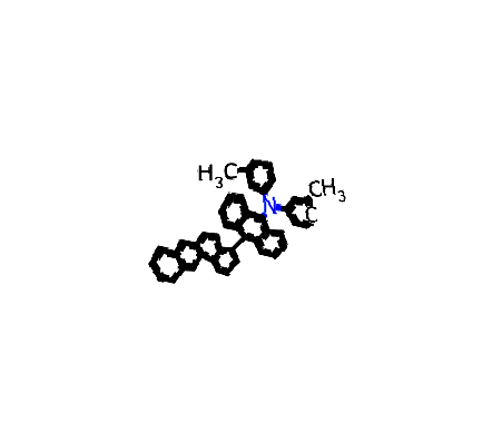 Cc1cccc(N(c2cccc(C)c2)c2c3ccccc3c(-c3cccc4c3ccc3cc5ccccc5cc34)c3ccccc23)c1